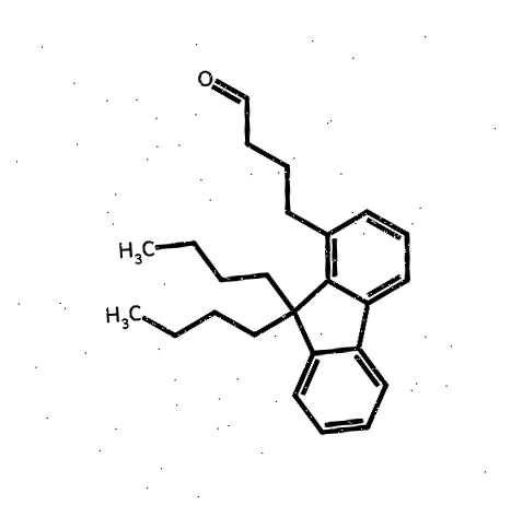 CCCCC1(CCCC)c2ccccc2-c2cccc(CCCC=O)c21